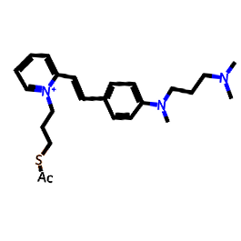 CC(=O)SCCC[n+]1ccccc1/C=C/c1ccc(N(C)CCCN(C)C)cc1